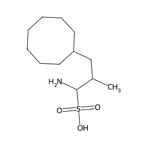 CC(CC1CCCCCCC1)C(N)S(=O)(=O)O